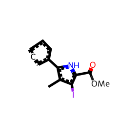 COC(=O)c1[nH]c(-c2ccccc2)c(C)c1I